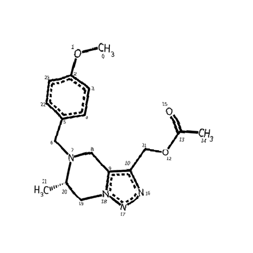 COc1ccc(CN2Cc3c(COC(C)=O)nnn3C[C@@H]2C)cc1